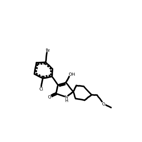 COCC1CCC2(CC1)NC(=O)C(c1cc(Br)ccc1Cl)=C2O